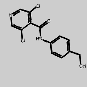 O=C(Nc1ccc(CO)cc1)c1c(Cl)cncc1Cl